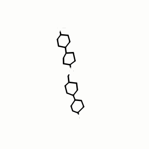 CC1CCC(C2CCC(COC3CCC(C4CCC(C)CC4)CC3)CC2)CC1